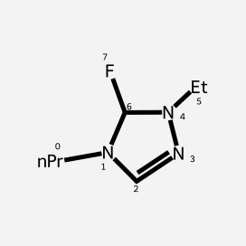 CCCN1C=NN(CC)C1F